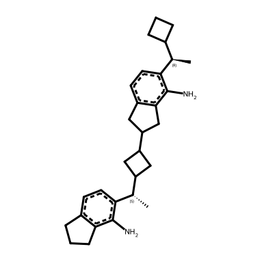 C[C@H](c1ccc2c(c1N)CCC2)C1CC(C2Cc3ccc([C@H](C)C4CCC4)c(N)c3C2)C1